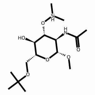 CO[C@@H]1O[C@H](COC(C)(C)C)[C@@H](O)[C@H](O[SiH](C)C)[C@H]1NC(C)=O